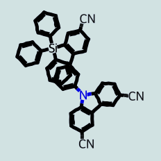 N#Cc1ccc(-c2cccc(-n3c4ccc(C#N)cc4c4cc(C#N)ccc43)c2)c([Si](c2ccccc2)(c2ccccc2)c2ccccc2)c1